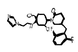 O=C1CCC(Cc2c(F)cccc2F)CN1C1C=CC(Cl)(NCCn2ccnc2)C=C1Cl